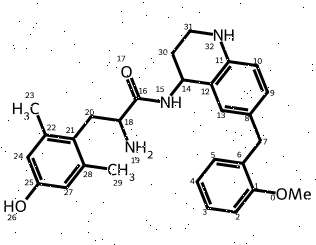 COc1ccccc1Cc1ccc2c(c1)C(NC(=O)C(N)Cc1c(C)cc(O)cc1C)CCN2